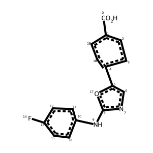 O=C(O)c1ccc(-c2cnc(Nc3ccc(F)cc3)o2)cc1